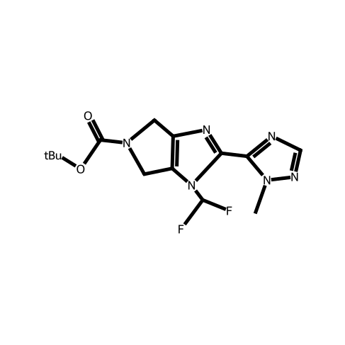 Cn1ncnc1-c1nc2c(n1C(F)F)CN(C(=O)OC(C)(C)C)C2